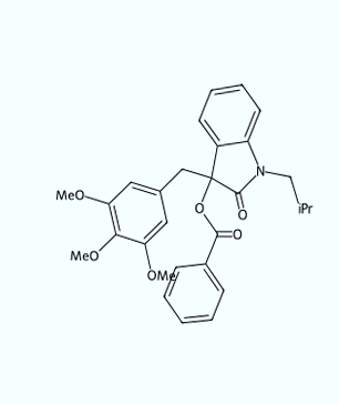 COc1cc(CC2(OC(=O)c3ccccc3)C(=O)N(CC(C)C)c3ccccc32)cc(OC)c1OC